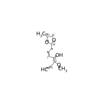 C#C/C(OC)=C(O)\C=C/CC1OCC(C)O1